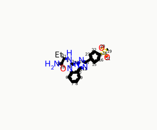 CC[C@@H](Nc1nc2ccccc2c2nc(-c3ccc(S(C)(=O)=O)cc3)nn12)C(N)=O